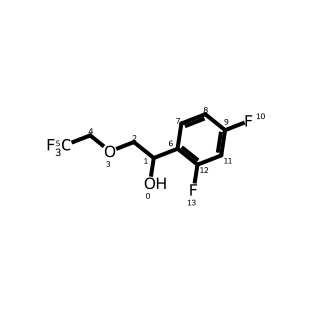 OC(COCC(F)(F)F)c1ccc(F)cc1F